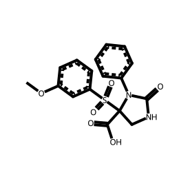 COc1cccc(S(=O)(=O)C2(C(=O)O)CNC(=O)N2c2ccccc2)c1